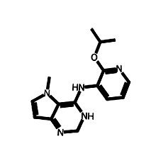 CC(C)Oc1ncccc1NC1=c2c(ccn2C)=NCN1